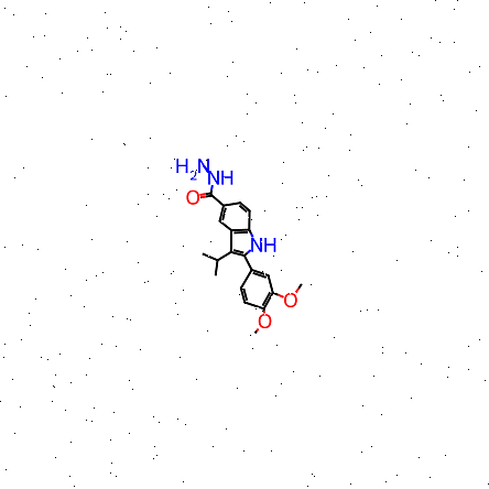 COc1ccc(-c2[nH]c3ccc(C(=O)NN)cc3c2C(C)C)cc1OC